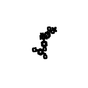 CC(C)(C)OC(=O)N1CCn2c(nnc2-c2ccc(Oc3cc(Cl)ccc3C=O)cc2)C1